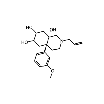 C=CCN1CC[C@]2(c3cccc(OC)c3)CC(O)C(O)C[C@@]2(O)C1